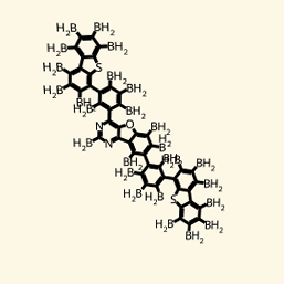 Bc1nc(-c2c(B)c(B)c(B)c(-c3c(B)c(B)c(B)c4c3sc3c(B)c(B)c(B)c(B)c34)c2B)c2oc3c(B)c(B)c(-c4c(B)c(B)c(B)c(-c5c(B)c(B)c(B)c6c5sc5c(B)c(B)c(B)c(B)c56)c4B)c(B)c3c2n1